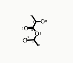 CC(Cl)OC(=O)C(C)[O]